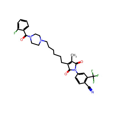 CC1=C(CCCCCCN2CCN(C(=O)c3ccccc3F)CC2)C(=O)N(c2ccc(C#N)c(C(F)(F)F)c2)C1=O